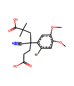 COc1cc(Br)c(C(C#N)(CCC(=O)O)CC(C)(C)C(=O)O)cc1OC